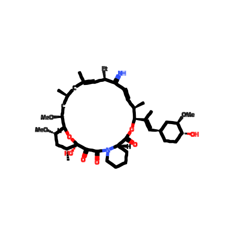 CC[C@@H]1/C=C(\C)C[C@H](C)C[C@H](OC)[C@H]2O[C@@](O)(C(=O)C(=O)N3CCCC[C@H]3C(=O)O[C@H](/C(C)=C/[C@@H]3CC[C@@H](O)[C@H](OC)C3)[C@H](C)/C=C/C1=N)[C@H](C)C[C@@H]2OC